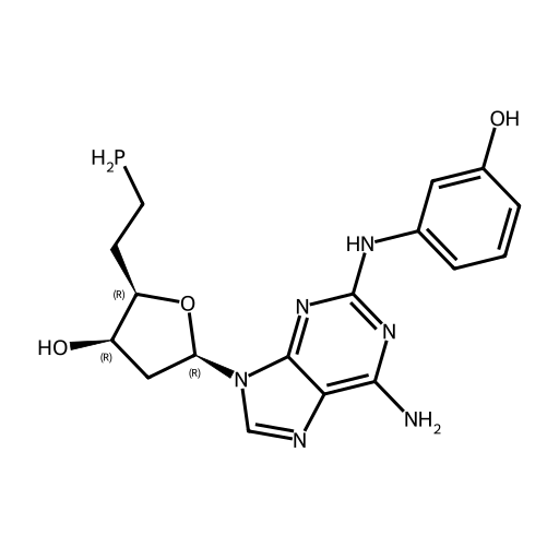 Nc1nc(Nc2cccc(O)c2)nc2c1ncn2[C@H]1C[C@@H](O)[C@@H](CCP)O1